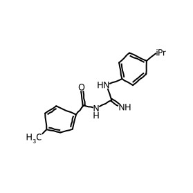 Cc1ccc(C(=O)NC(=N)Nc2ccc(C(C)C)cc2)cc1